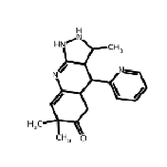 CC1NNC2=NC3=CC(C)(C)C(=O)CC3C(c3ccccn3)C21